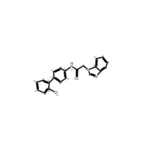 O=C(Cn1cnc2ccccc21)Nc1ccc(-c2ccccc2Cl)cc1